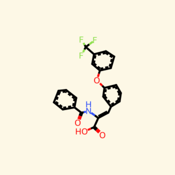 O=C(O)C(=Cc1cccc(Oc2cccc(C(F)(F)F)c2)c1)NC(=O)c1ccccc1